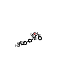 C=C(Nc1ccccc1)c1ncn(-c2ccc(C3CCC(CP(=O)(O)O)CC3)cc2)c1/N=C\C